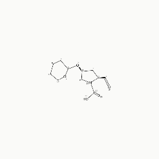 O=C[C@@H]1C[C@H](OC2CCCCO2)CN1C(=O)O